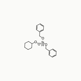 c1ccc(CO[SiH](OCc2ccccc2)OOC2CCCCC2)cc1